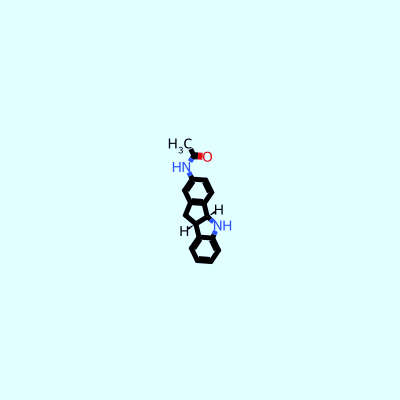 CC(=O)Nc1ccc2c(c1)C[C@@H]1c3ccccc3N[C@H]21